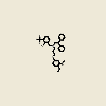 CCc1ccc(OCCCN(Cc2cccc(C(F)(F)F)c2Cl)CC(C2=CCCC=C2)c2ccccc2)cc1PC